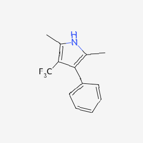 Cc1[nH]c(C)c(C(F)(F)F)c1-c1ccccc1